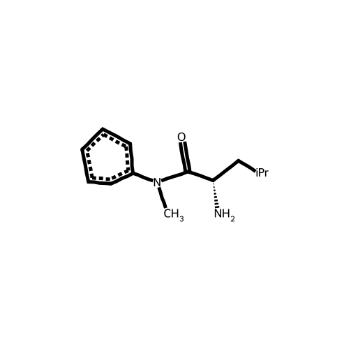 CC(C)C[C@H](N)C(=O)N(C)c1ccccc1